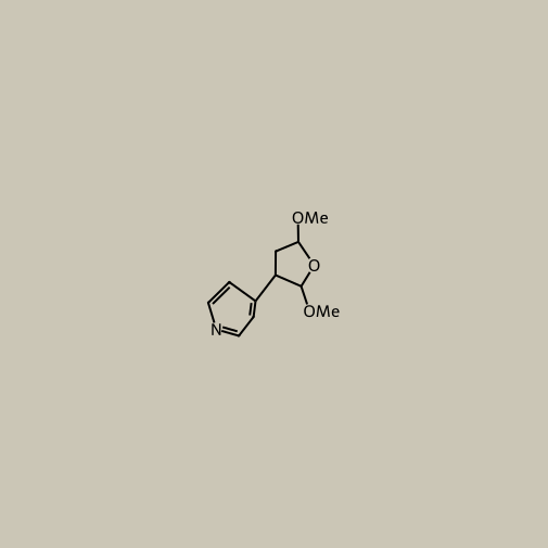 COC1CC(c2ccncc2)C(OC)O1